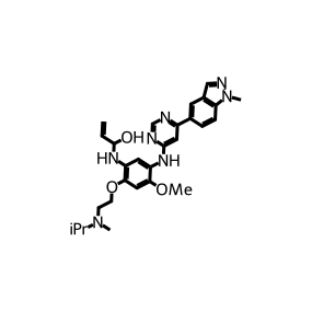 C=CC(O)Nc1cc(Nc2cc(-c3ccc4c(cnn4C)c3)ncn2)c(OC)cc1OCCN(C)C(C)C